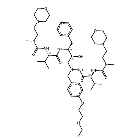 CCOCCOc1ccc(CN(C[C@H](O)[C@H](Cc2ccccc2)NC(=O)[C@@H](NC(=O)N(C)CCN2CCOCC2)C(C)C)NC(=O)[C@@H](NC(=O)N(C)CCN2CCOCC2)C(C)C)cc1